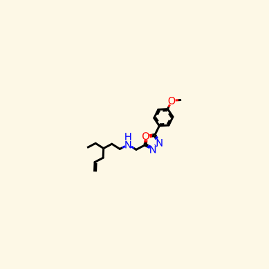 C=CCC(CC)CCNCc1nnc(-c2ccc(OC)cc2)o1